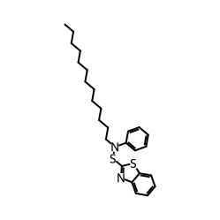 CCCCCCCCCCCCCN(Sc1nc2ccccc2s1)c1ccccc1